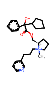 C[N+]1(CCCc2cccnc2)CCC[C@@H]1COC(=O)C(O)(c1ccccc1)C1CCCC1